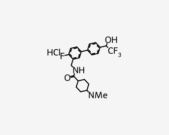 CNC1CCC(C(=O)NCc2cc(-c3ccc(C(O)C(F)(F)F)cc3)ccc2F)CC1.Cl